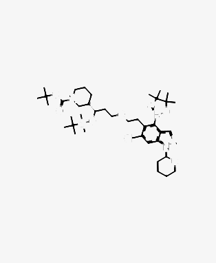 CC(C)(C)OC(=O)N1CCC[C@@H](C(CCOCCc2c(Cl)cc3c(cnn3C3CCCCO3)c2B2OC(C)(C)C(C)(C)O2)O[Si](C)(C)C(C)(C)C)C1